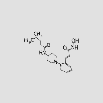 CC(C)CCC(=O)NC1CCN(c2ccccc2C=CC(=O)NO)CC1